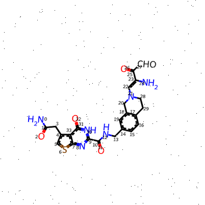 NC(=O)Cc1csc2nc(C(=O)NCc3ccc4c(c3)CN(/C=C(\N)C(=O)C=O)CC4)[nH]c(=O)c12